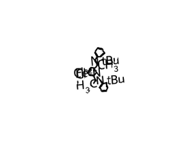 CC(=Nc1ccccc1C(C)(C)C)c1cccc(C(C)=Nc2ccccc2C(C)(C)C)n1.[Cl-].[Cl-].[Fe+2]